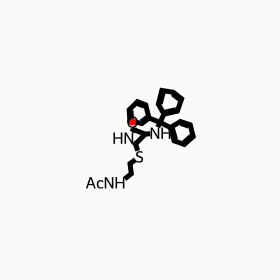 CC(=O)NCCSC1NC(=O)C1NC(c1ccccc1)(c1ccccc1)c1ccccc1